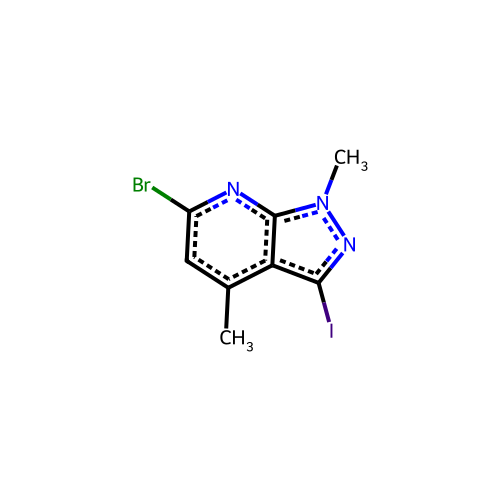 Cc1cc(Br)nc2c1c(I)nn2C